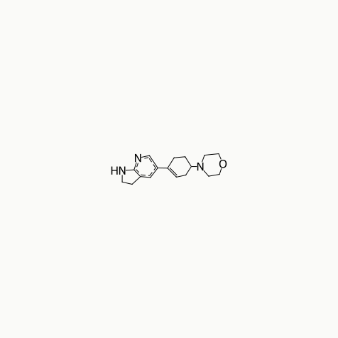 C1=C(c2cnc3c(c2)CCN3)CCC(N2CCOCC2)C1